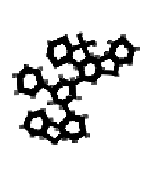 CC1(C)c2ccccc2-c2c(-c3nc(-c4ccccc4)nc(-c4cccc5c4-c4ccccc4C5)n3)cc3c(c21)-c1ccccc1C3